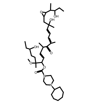 CCC(O)CCC(C)(OC)C(C=CC(C)C(=O)C(C)=CC=CC(C)(O)CC1OC1C(C)C(O)CC)OC(=O)N1CCN(C2CCCCCC2)CC1